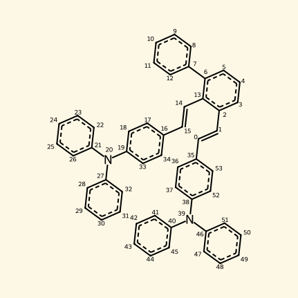 C(=Cc1cccc(-c2ccccc2)c1C=Cc1ccc(N(c2ccccc2)c2ccccc2)cc1)c1ccc(N(c2ccccc2)c2ccccc2)cc1